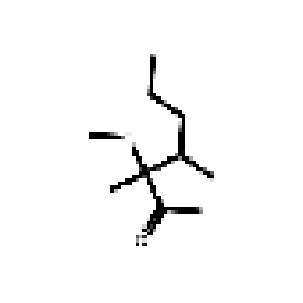 CCCC(C)C(C)(OC)C(C)=O